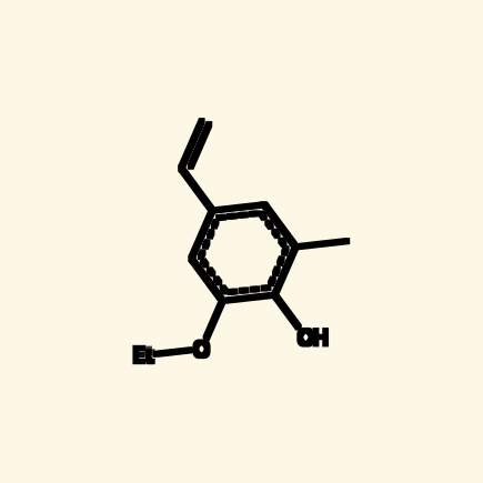 C=Cc1cc(C)c(O)c(OCC)c1